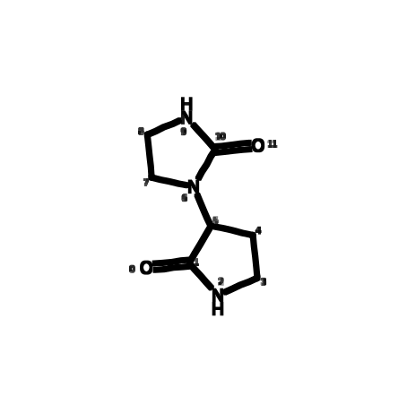 O=C1NCCC1N1CCNC1=O